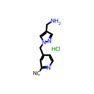 Cl.N#Cc1cc(Cn2cc(CN)cn2)ccn1